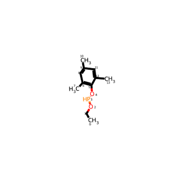 CCOPOc1c(C)cc(C)cc1C